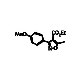 CCOC(=O)c1c(-c2ccc(OC)cc2)noc1C